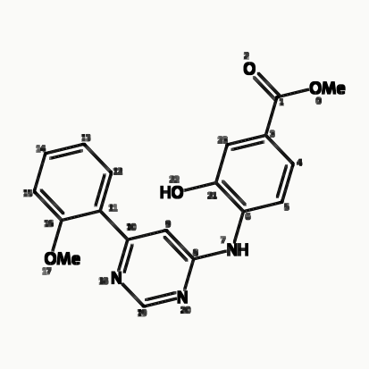 COC(=O)c1ccc(Nc2cc(-c3ccccc3OC)ncn2)c(O)c1